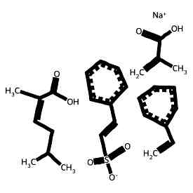 C=C(C)C(=O)O.C=Cc1ccccc1.CC(=CCC(C)C)C(=O)O.O=S(=O)([O-])C=Cc1ccccc1.[Na+]